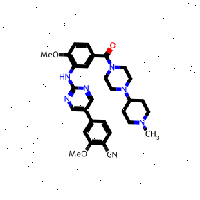 COc1cc(-c2cnc(Nc3cc(C(=O)N4CCN(C5CCN(C)CC5)CC4)ccc3OC)nc2)ccc1C#N